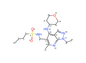 CCCCS(=O)(=O)NCc1c(C)nc2c(cnn2CC)c1NC1CCOCC1